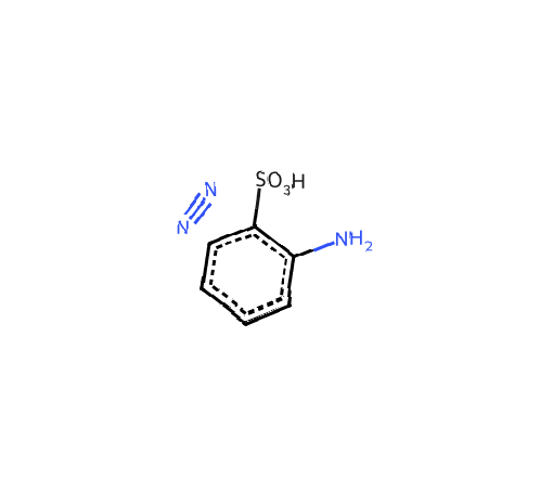 N#N.Nc1ccccc1S(=O)(=O)O